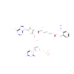 [N-]=[N+]=Nc1ccccc1COC(=O)NCCC[C@@H](N)C(=O)OC1C(COP(=O)(O)O[C@H]2C[C@H](n3ccc(N)nc3=O)O[C@H]2COP(=O)(O)O)OC(n2cnc3c(N)ncnc32)C1O